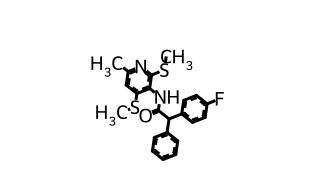 CSc1cc(C)nc(SC)c1NC(=O)C(c1ccccc1)c1ccc(F)cc1